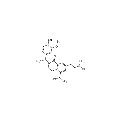 CCOc1cc(C(C)N2CCc3c(cc(CCN(C)CC)cc3C(O)C(F)(F)F)C2=O)ncc1C#N